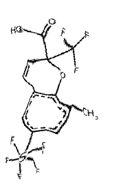 Cc1cc(S(F)(F)(F)(F)F)cc2c1OC(C(=O)O)(C(F)(F)F)C=C2